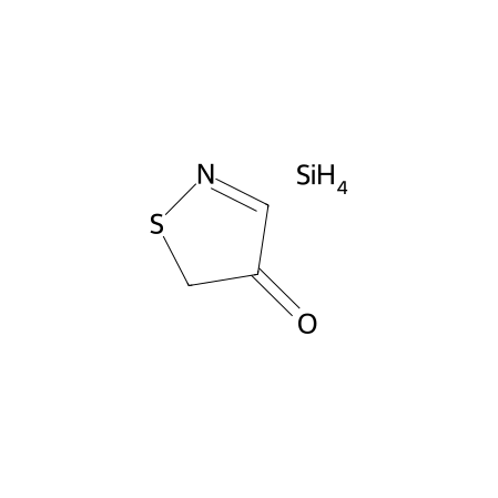 O=C1C=NSC1.[SiH4]